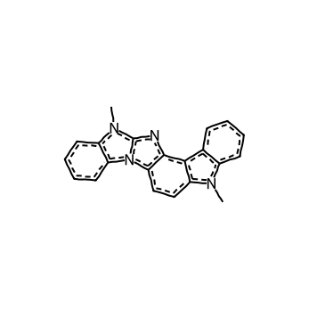 Cn1c2ccccc2c2c3nc4n(C)c5ccccc5n4c3ccc21